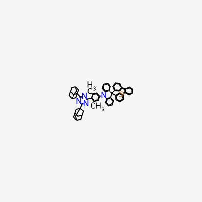 Cc1cc(N2c3ccccc3C(c3ccccc3)(c3cccc4c3sc3ccccc34)c3ccccc32)cc(C)c1-c1nc(C23CC4CC(CC(C4)C2)C3)nc(C23CC4CC(CC(C4)C2)C3)n1